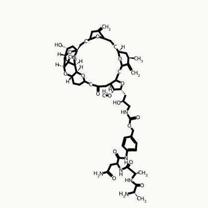 C=C1CC2CC[C@]34C[C@@H](O)[C@H](O3)[C@@H]3O[C@H]5CCC(CC(=O)C[C@H]6C(CC7O[C@@H](CCC1O2)C[C@@H](C)C7=C)O[C@H](C[C@H](O)CNC(=O)OCc1ccc(NC(=O)C(CC(N)=O)NC(=O)[C@H](C)NC(=O)[C@H](C)N)cc1)[C@@H]6OC)O[C@@H]5[C@H](O4)[C@@H]3C